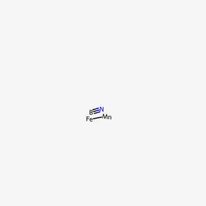 B#N.[Mn][Fe]